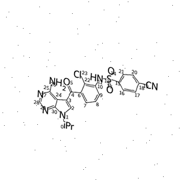 CC(C)n1cc(C(=O)c2cccc(NS(=O)(=O)c3ccc(C#N)cc3)c2Cl)c2c(N)ncnc21